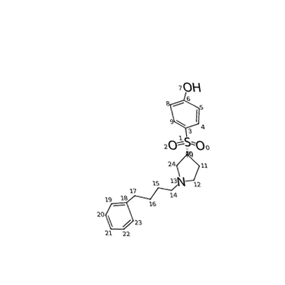 O=S(=O)(c1ccc(O)cc1)[C@@H]1CCN(CCCCc2ccccc2)C1